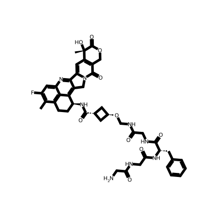 Cc1c(F)cc2nc3c(c4c2c1CC[C@@H]4NC(=O)[C@H]1C[C@@H](OCNC(=O)CNC(=O)[C@H](Cc2ccccc2)NC(=O)CNC(=O)CN)C1)Cn1c-3cc2c(c1=O)COC(=O)[C@@]2(C)O